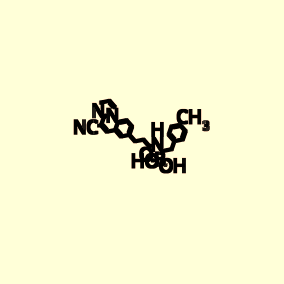 Cc1ccc(CC(NC(=O)CCc2cccc(C=C(C#N)c3ncccn3)c2)B(O)O)cc1